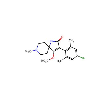 CCOC(=O)OC1=C(c2c(C)cc(Br)cc2C)C(=O)NC12CCN(OC)CC2